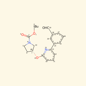 CC(C)(C)OC(=O)N1CC[C@@H](Oc2cccc(-c3cccc(C=O)c3)n2)C1